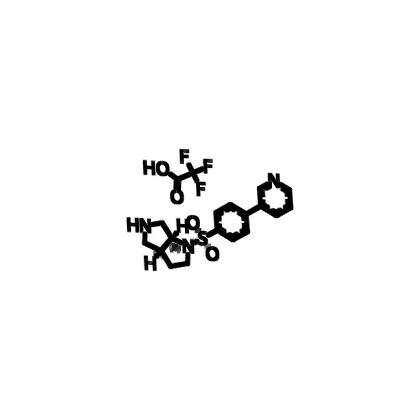 O=C(O)C(F)(F)F.O=S(=O)(c1ccc(-c2cccnc2)cc1)N1CC[C@@H]2CNC[C@@H]21